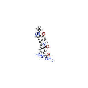 NC(=O)c1n[nH]c2ccc(C(=O)N3CCC4(CC3)CC(=O)c3c(cnn3C35CC(C3)C5)C4)cc12